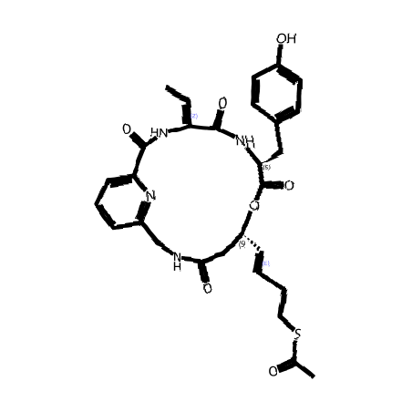 C/C=C1\NC(=O)c2cccc(n2)CNC(=O)C[C@@H](/C=C/CCSC(C)=O)OC(=O)[C@H](Cc2ccc(O)cc2)NC1=O